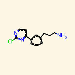 NCCCc1cccc(-c2ccnc(Cl)n2)c1